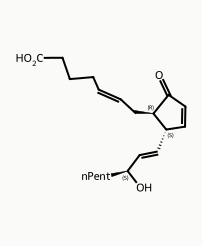 CCCCC[C@H](O)C=C[C@H]1C=CC(=O)[C@@H]1CC=CCCCC(=O)O